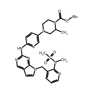 CC1CN(c2ccc(Nc3ncc4ccn(Cc5cccnc5N(C)S(C)(=O)=O)c4n3)nc2)CCN1C(=O)OC(C)(C)C